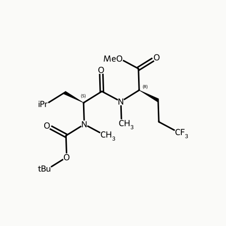 COC(=O)[C@@H](CCC(F)(F)F)N(C)C(=O)[C@H](CC(C)C)N(C)C(=O)OC(C)(C)C